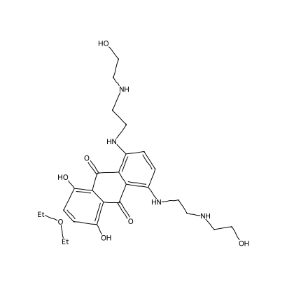 CCOCC.O=C1c2c(O)ccc(O)c2C(=O)c2c(NCCNCCO)ccc(NCCNCCO)c21